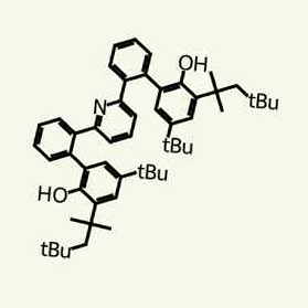 CC(C)(C)CC(C)(C)c1cc(C(C)(C)C)cc(-c2ccccc2-c2cccc(-c3ccccc3-c3cc(C(C)(C)C)cc(C(C)(C)CC(C)(C)C)c3O)n2)c1O